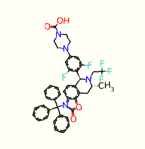 C[C@@H]1Cc2c(ccc3c2oc(=O)n3C(c2ccccc2)(c2ccccc2)c2ccccc2)[C@@H](c2c(F)cc(N3CCN(C(=O)O)CC3)cc2F)N1CC(F)(F)F